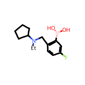 CCN(Cc1ccc(F)cc1B(O)O)C1CCCC1